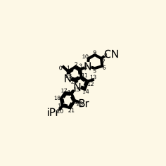 Cc1cc(N2CCC(C#N)CC2)c2c(C)cn(-c3ccc(C(C)C)cc3Br)c2n1